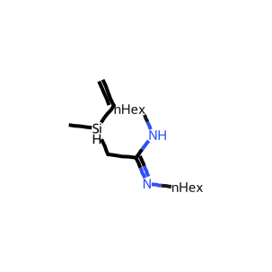 C=C[SiH](C)CC(=NCCCCCC)NCCCCCC